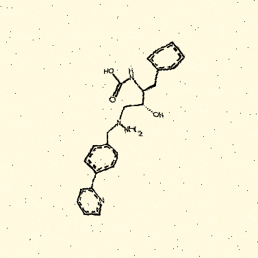 NN(Cc1ccc(-c2ccccn2)cc1)C[C@@H](O)[C@H](Cc1ccccc1)NC(=O)O